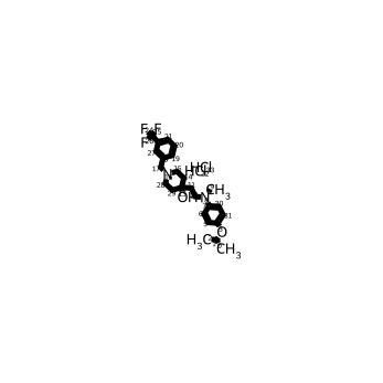 CC(C)Oc1ccc(N(C)CCC2(O)CCN(Cc3cccc(C(F)(F)F)c3)CC2)cc1.Cl.Cl